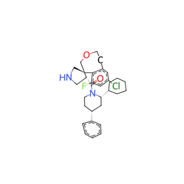 O=C([C@@H]1CNC[C@]12COCCc1cc(Cl)cc(F)c12)N1CC[C@@H](c2ccccc2)C[C@H]1C1CCCCC1